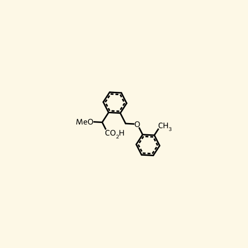 COC(C(=O)O)c1ccccc1COc1ccccc1C